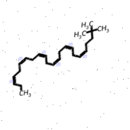 CC/C=C\C/C=C\C/C=C\C/C=C\C/C=C\C/C=C\CCC(C)(C)C